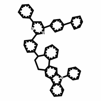 c1ccc(-c2ccc(-c3cc(-c4ccccc4)nc(-c4cccc(C5CCc6cc7c8ccccc8n(-c8ccccc8)c7cc6-c6ccccc65)c4)n3)cc2)cc1